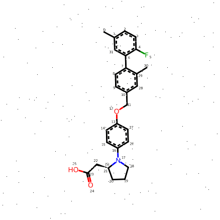 Cc1ccc(F)c(-c2ccc(COc3ccc(N4CCC[C@H]4CC(=O)O)cc3)cc2C)c1